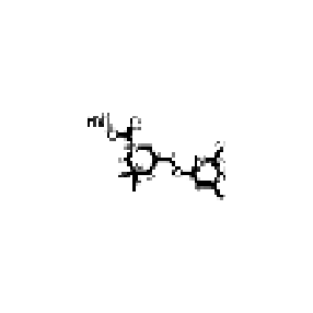 Cc1cc(OCC2CN(C(=O)OC(C)(C)C)CC(F)(F)C2)nc(C)n1